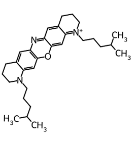 CC(C)CCCN1CCCc2cc3c(cc21)Oc1cc2c(cc1=N3)CCC[N+]=2CCCC(C)C